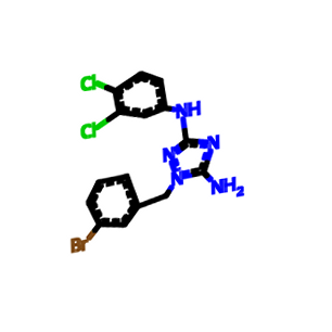 Nc1nc(Nc2ccc(Cl)c(Cl)c2)nn1Cc1cccc(Br)c1